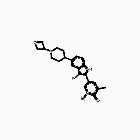 CCn1cc(-c2[nH]c3ccc(C4CCN(C5COC5)CC4)cc3c2C(C)C)cc(C)c1=O